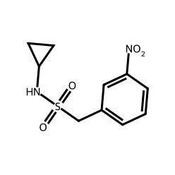 O=[N+]([O-])c1cccc(CS(=O)(=O)NC2CC2)c1